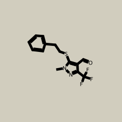 Cn1nc(C(F)(F)F)c(C=O)c1SCCc1ccccc1